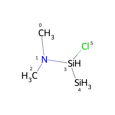 CN(C)[SiH]([SiH3])Cl